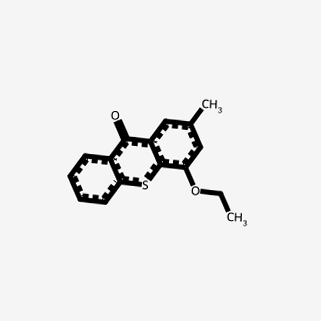 CCOc1cc(C)cc2c(=O)c3ccccc3sc12